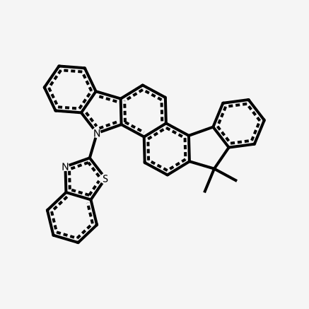 CC1(C)c2ccccc2-c2c1ccc1c2ccc2c3ccccc3n(-c3nc4ccccc4s3)c12